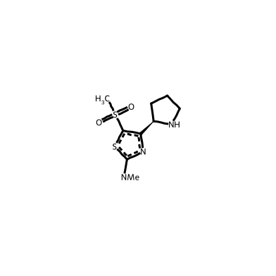 CNc1nc([C@H]2CCCN2)c(S(C)(=O)=O)s1